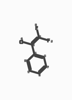 FC(F)=C(Cl)c1ccccc1